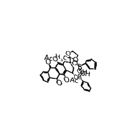 CC(=O)Oc1c2c(c(OC(C)=O)c3c1C(=O)c1ccccc1C3=O)[C@H](OB(O)c1ccccc1)C[C@@](OB(O)c1ccccc1)(C1(C)OCCO1)C2